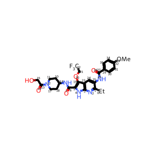 CCc1nc2[nH]c(C(=O)NC3CCN(C(=O)CO)CC3)c(OCC(F)(F)F)c2cc1NC(=O)c1ccc(OC)cc1